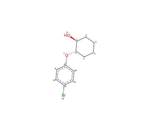 O[C@H]1CCCC[C@@H]1Oc1ccc(Br)cc1